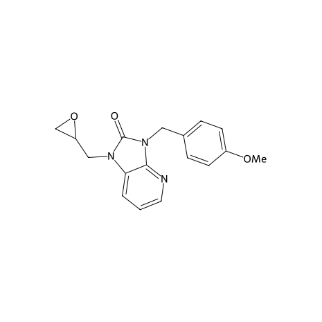 COc1ccc(Cn2c(=O)n(CC3CO3)c3cccnc32)cc1